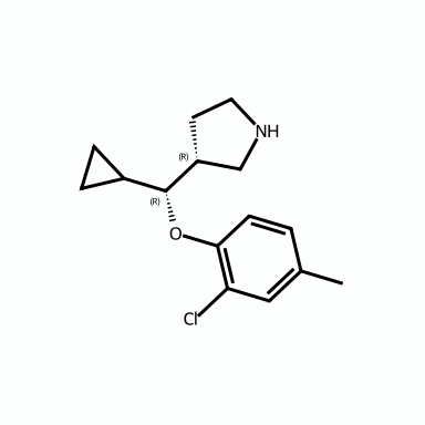 Cc1ccc(O[C@H](C2CC2)[C@@H]2CCNC2)c(Cl)c1